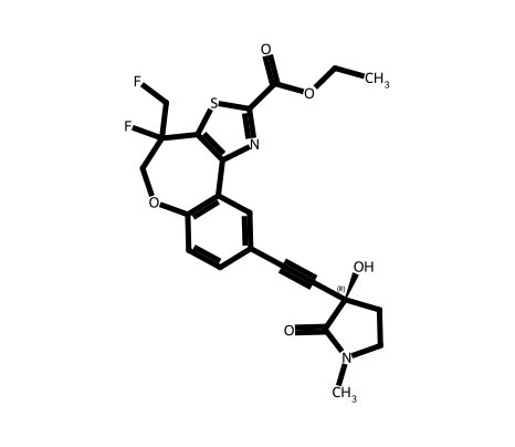 CCOC(=O)c1nc2c(s1)C(F)(CF)COc1ccc(C#C[C@]3(O)CCN(C)C3=O)cc1-2